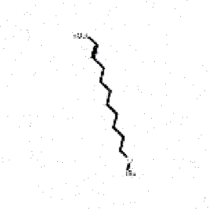 CCCCCCCC/C=C/CCCCCCCCOC(C)(C)C